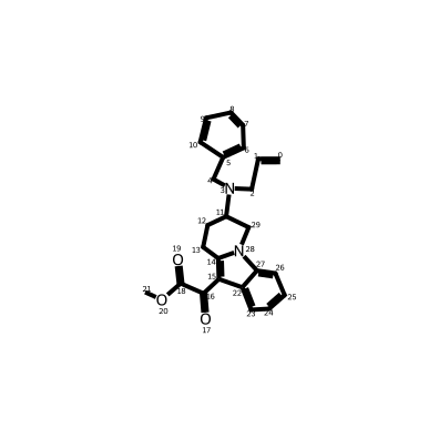 C=CCN(Cc1ccccc1)C1CCc2c(C(=O)C(=O)OC)c3ccccc3n2C1